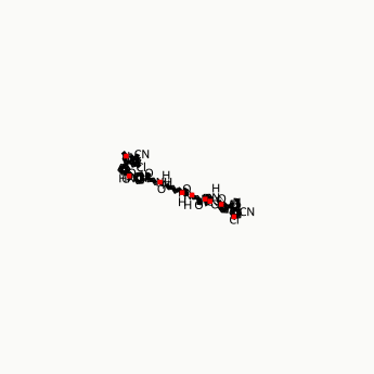 CN1Cc2c(C#N)cc(Cl)cc2C(c2cccc(S(=O)(=O)NC3CCN(C(=O)CCCNC(=O)NCCCCNC(=O)NCCCC(=O)N4CCC(NS(=O)(=O)c5cccc(C6CN(C)Cc7c(C#N)cc(Cl)cc76)c5)CC4)CC3)c2)C1